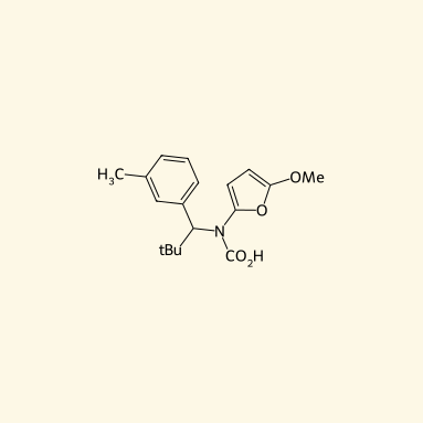 COc1ccc(N(C(=O)O)C(c2cccc(C)c2)C(C)(C)C)o1